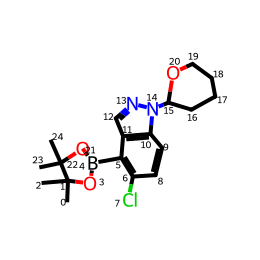 CC1(C)OB(c2c(Cl)ccc3c2cnn3C2CCCCO2)OC1(C)C